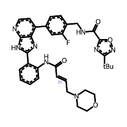 CC(C)(C)c1noc(C(=O)NCc2ccc(-c3ccnc4[nH]c(-c5ccccc5NC(=O)/C=C/CN5CCOCC5)nc34)cc2F)n1